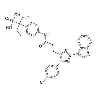 CCC(CC)(c1ccc(NC(=O)CCc2sc(-n3cnc4ccccc43)nc2-c2ccc(Cl)cc2)cc1)P(=O)(O)O